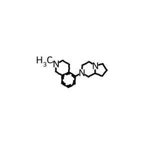 CN1CCc2c(cccc2N2CCN3CCCC3C2)C1